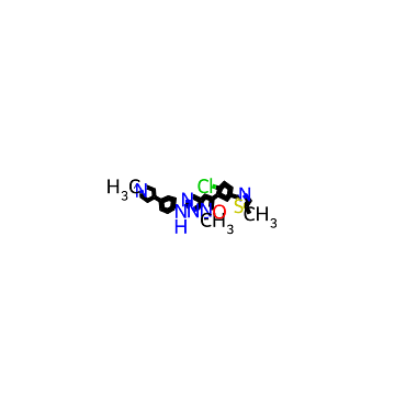 Cc1cnc(-c2ccc(Cl)c(-c3cc4cnc(Nc5ccc(C6CCN(C)CC6)cc5)nc4n(C)c3=O)c2)s1